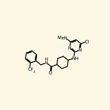 CNc1cc(Cl)nc(NC2CCC(C(=O)NCc3ccccc3C(F)(F)F)CC2)n1